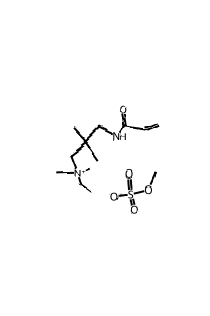 C=CC(=O)NCC(C)(C)C[N+](C)(C)CC.COS(=O)(=O)[O-]